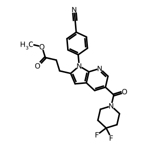 COC(=O)CCc1cc2cc(C(=O)N3CCC(F)(F)CC3)cnc2n1-c1ccc(C#N)cc1